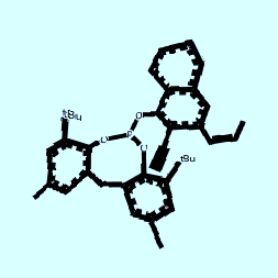 C#Cc1c(/C=C\C)cc2ccccc2c1OP1Oc2c(cc(C)cc2C(C)(C)C)Cc2cc(C)cc(C(C)(C)C)c2O1